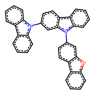 c1ccc2c(c1)oc1cc(-n3c4ccccc4c4ccc(-n5c6ccccc6c6ccccc65)cc43)ccc12